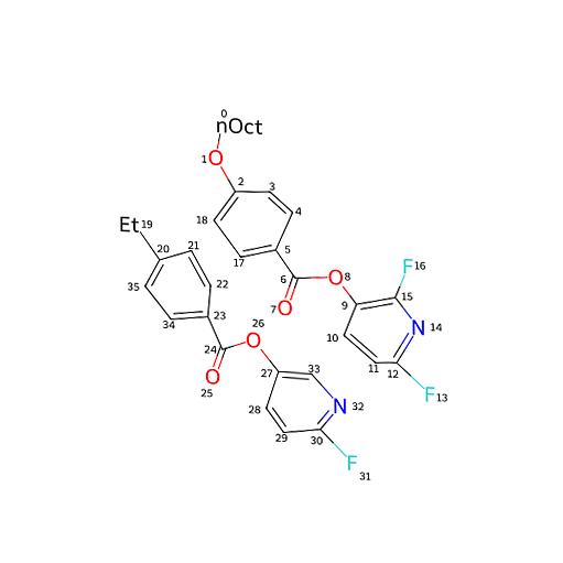 CCCCCCCCOc1ccc(C(=O)Oc2ccc(F)nc2F)cc1.CCc1ccc(C(=O)Oc2ccc(F)nc2)cc1